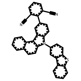 N#Cc1cccc(C#N)c1-c1ccc2c(c1)c1c3ccccc3ccc1n2-c1ccc2sc3ccccc3c2c1